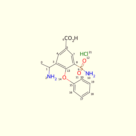 CC(N)c1cc(C(=O)O)cc(S(N)(=O)=O)c1Oc1ccccc1.Cl